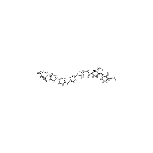 CC1(NCC2CCN(CC3CCN(c4ccc(C5CCC(=O)NC5=O)cc4)CC3)CC2)CCN(c2cnc(Sc3cccc(N)c3Cl)c(N)n2)CC1